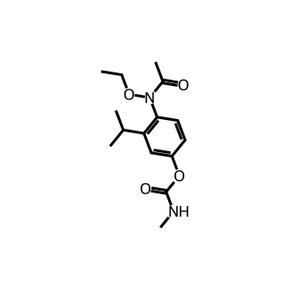 CCON(C(C)=O)c1ccc(OC(=O)NC)cc1C(C)C